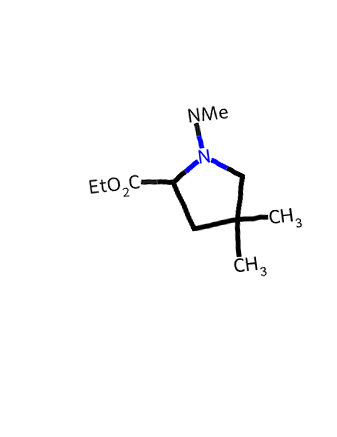 CCOC(=O)C1CC(C)(C)CN1NC